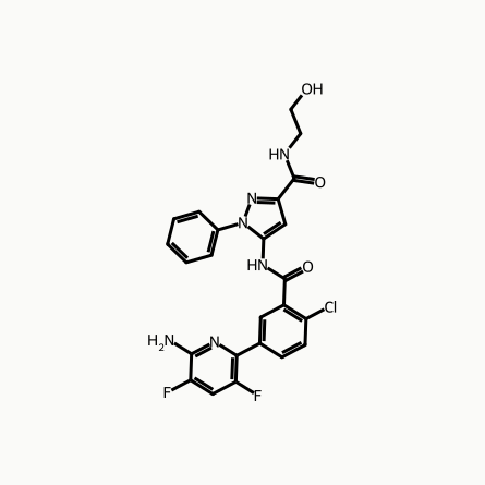 Nc1nc(-c2ccc(Cl)c(C(=O)Nc3cc(C(=O)NCCO)nn3-c3ccccc3)c2)c(F)cc1F